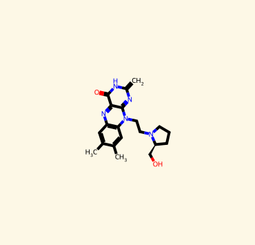 C=c1nc2c(c(=O)[nH]1)=Nc1cc(C)c(C)cc1N2CCN1CCC[C@H]1CO